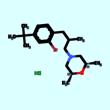 CC(Cc1ccc(C(C)(C)C)cc1Br)CN1C[C@@H](C)O[C@@H](C)C1.Cl